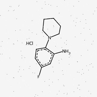 Cl.Nc1cc(F)ccc1N1CCCCC1